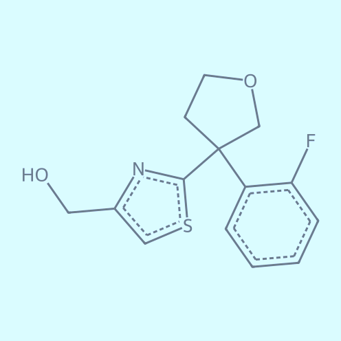 OCc1csc(C2(c3ccccc3F)CCOC2)n1